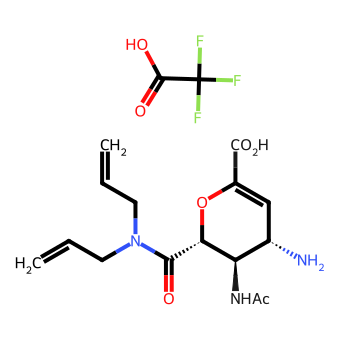 C=CCN(CC=C)C(=O)[C@@H]1OC(C(=O)O)=C[C@H](N)[C@H]1NC(C)=O.O=C(O)C(F)(F)F